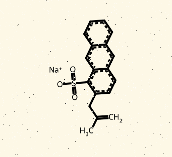 C=C(C)Cc1ccc2cc3ccccc3cc2c1S(=O)(=O)[O-].[Na+]